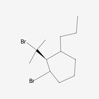 CCCC1CCCC(Br)[C@H]1C(C)(C)Br